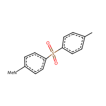 CNc1ccc(S(=O)(=O)c2ccc(C)cc2)cc1